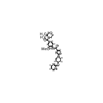 COc1cc(C(=O)N2CCOCC2(C)C)ccc1NC(=O)c1csc(N2CCC(Oc3ncccn3)CC2)n1